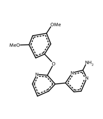 COc1cc(OC)cc(Oc2ncccc2-c2ccnc(N)n2)c1